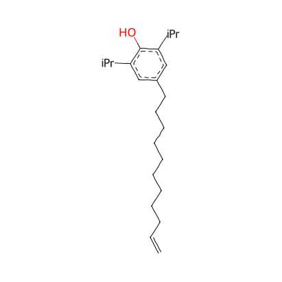 C=CCCCCCCCCCc1cc(C(C)C)c(O)c(C(C)C)c1